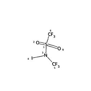 O=S(=O)(N(I)C(F)(F)F)C(F)(F)F